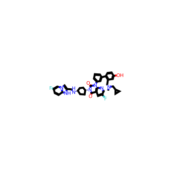 CN(Cc1cc(O)ccc1-c1cccc(-n2c(=O)n([C@H]3CC[C@@H](NCC4=CN5C=C(F)C=CC5N4)CC3)c(=O)c3cc(F)cnc32)c1)CC1CC1